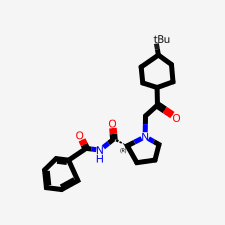 CC(C)(C)C1CCC(C(=O)CN2CCC[C@@H]2C(=O)NC(=O)c2ccccc2)CC1